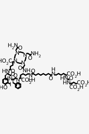 NC(=O)CN1CCN(CC(N)=O)CCN([C@H](CCC(=O)N[C@H](Cc2ccc(O)c(I)c2)C(=O)N[C@H](Cc2ccccc2)C(=O)N[C@H](CCCCNC(=O)CCCCCCC(=O)NCCCC[C@H](NC(=O)N[C@@H](CCC(=O)O)C(=O)O)C(=O)O)C(=O)O)C(=O)O)CCN(CC(N)=O)CC1